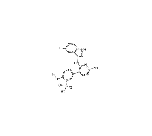 CCOc1ccc(-c2cnc(N)nc2Nc2n[nH]c3ccc(F)cc23)cc1S(=O)(=O)C(C)C